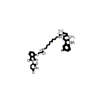 Cc1cc(C)n(C(=O)NCCCCCCCCNC(=O)COc2cccc3c2C(=O)N(C2CCC(=O)NC2=O)C3=O)c1/C=C1\C(=O)Nc2ccc(F)cc21